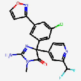 CN1C(=O)C(c2cc(Cl)cc(-c3ccon3)c2)(c2ccnc(C(F)F)c2)N=C1N